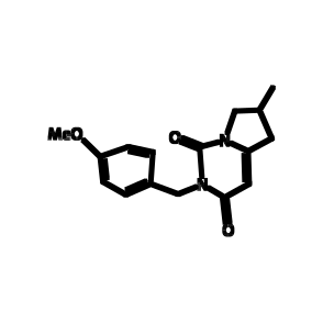 COc1ccc(Cn2c(=O)cc3n(c2=O)CC(C)C3)cc1